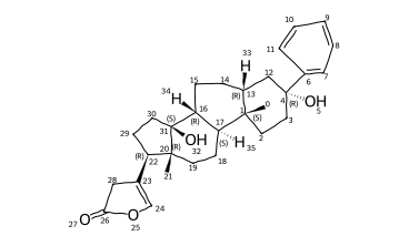 C[C@]12CC[C@](O)(c3ccccc3)C[C@H]1CC[C@@H]1[C@@H]2CC[C@]2(C)[C@@H](C3=COC(=O)C3)CC[C@]12O